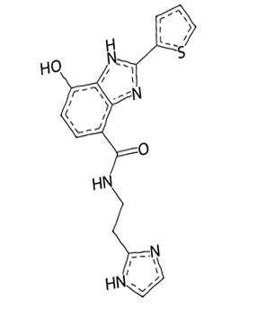 O=C(NCCc1ncc[nH]1)c1ccc(O)c2[nH]c(-c3cccs3)nc12